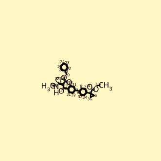 CCOC(=O)C1(c2ccc(-c3ccc(C(=O)/C(C(=O)OCc4ccccc4)=C(/C)NC)cc3)cc2)CC1